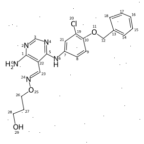 Nc1ncnc(Nc2ccc(OCc3ccccc3)c(Cl)c2)c1C=NOCCCO